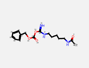 CCC(=O)NCCCCCNC(=N)OC(=O)OCc1ccccc1